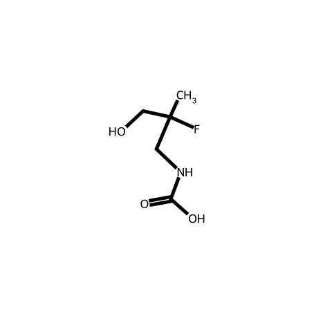 CC(F)(CO)CNC(=O)O